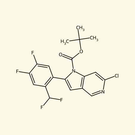 CC(C)(C)OC(=O)n1c(-c2cc(F)c(F)cc2C(F)F)cc2cnc(Cl)cc21